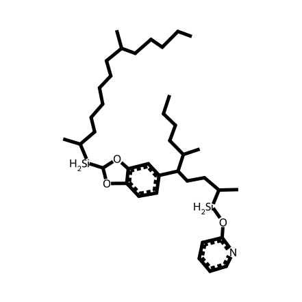 CCCCCC(C)CCCCCCC(C)[SiH2]C1Oc2ccc(C(CCC(C)[SiH2]Oc3ccccn3)C(C)CCCC)cc2O1